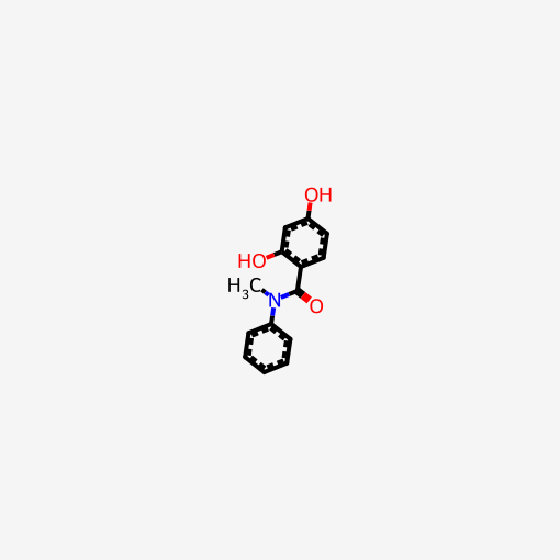 CN(C(=O)c1ccc(O)cc1O)c1ccccc1